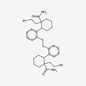 CC(C)CCC1(C(N)=O)CCCCC1c1ccccc1SSc1ccccc1C1CCCCC1(CCC(C)C)C(N)=O